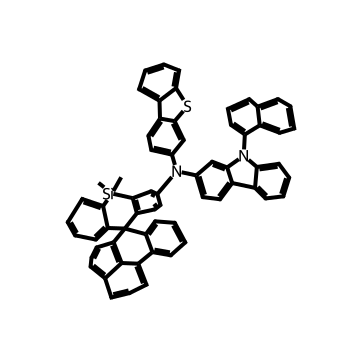 C[Si]1(C)c2ccccc2C2(c3ccccc3-c3cccc4cccc2c34)c2ccc(N(c3ccc4c(c3)sc3ccccc34)c3ccc4c5ccccc5n(-c5cccc6ccccc56)c4c3)cc21